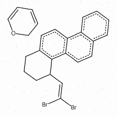 BrC(Br)=CC1CCCc2ccc3c(ccc4ccccc43)c21.C1=CCOC=C1